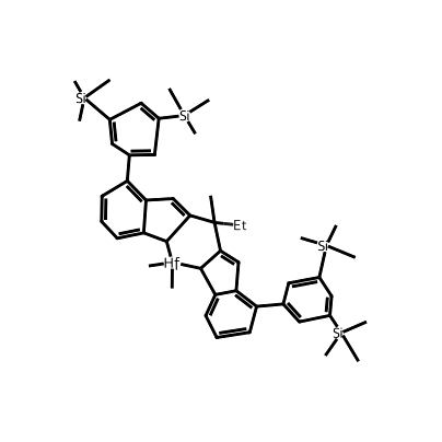 CCC1(C)C2=Cc3c(-c4cc([Si](C)(C)C)cc([Si](C)(C)C)c4)cccc3[CH]2[Hf]([CH3])([CH3])[CH]2C1=Cc1c(-c3cc([Si](C)(C)C)cc([Si](C)(C)C)c3)cccc12